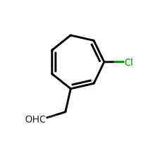 O=CCC1=CC(Cl)=CCC=C1